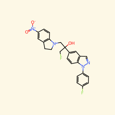 O=[N+]([O-])c1ccc2c(c1)CCN2CC(O)(CF)c1ccc2c(cnn2-c2ccc(F)cc2)c1